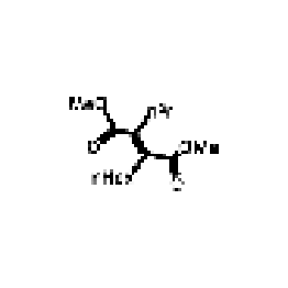 CCCCCCC(C(=O)OC)=C(CCC)C(=O)OC